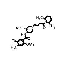 COc1cc(N)c(Cl)cc1C(=O)N[C@H]1CCN(CCCC(=O)N2C(C)CCCC2C)C[C@H]1OC